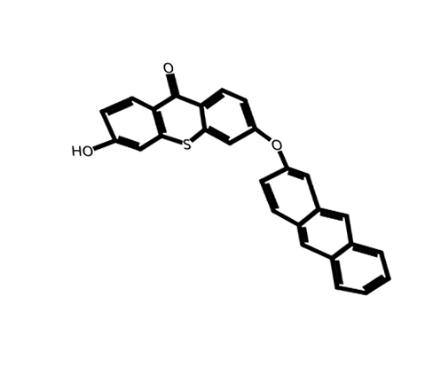 O=c1c2ccc(O)cc2sc2cc(Oc3ccc4cc5ccccc5cc4c3)ccc12